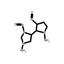 NN1CC(C2C(N=O)CCN2N)N(N=O)C1